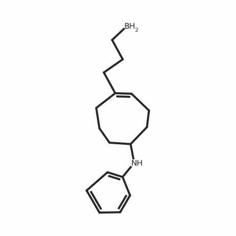 BCCC/C1=C/CCC(Nc2ccccc2)CCC1